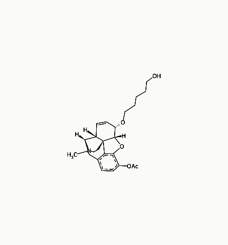 CC(=O)Oc1ccc2c3c1O[C@H]1[C@@H](OCCCCCO)C=C[C@H]4[C@@H](C2)N(C)CC[C@@]341